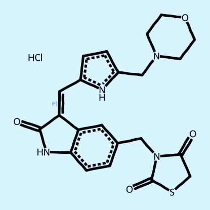 Cl.O=C1Nc2ccc(CN3C(=O)CSC3=O)cc2/C1=C\c1ccc(CN2CCOCC2)[nH]1